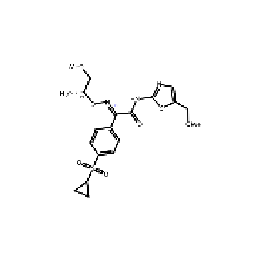 COCc1cnc(NC(=O)/C(=N/O[C@H](C)COC)c2ccc(S(=O)(=O)C3CC3)cc2)s1